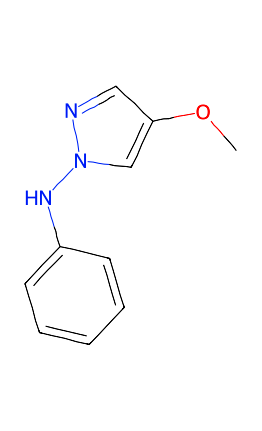 COc1cnn(Nc2ccccc2)c1